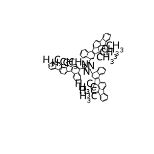 CC1(C)c2ccccc2-c2ccc3c(c21)C(C)(C)c1cc(-c2nc(-c4cc5c(c6ccccc46)-c4ccc6c(c4C5(C)C)C(C)(C)c4ccccc4-6)nc(-c4cc5c(c6ccccc46)-c4ccc6c(c4C5(C)C)C(C)(C)c4ccccc4-6)n2)c2ccccc2c1-3